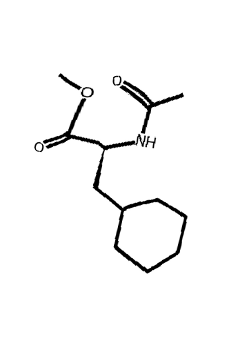 COC(=O)[C@H](CC1CCCCC1)NC(C)=O